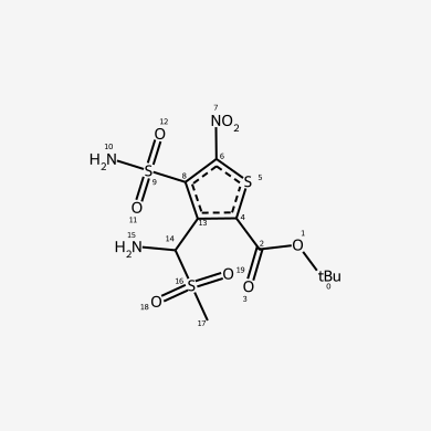 CC(C)(C)OC(=O)c1sc([N+](=O)[O-])c(S(N)(=O)=O)c1C(N)S(C)(=O)=O